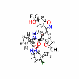 CC1Cc2cc(C3=NOC4CC(O)(C(F)(F)F)CC34)cc(C(=O)N[C@H]3[C@@H](C(=O)Nc4ccc(F)c(C(F)(F)F)c4)[C@H]4CC[C@@H]3/C4=C\C3CCCC3)c2O1